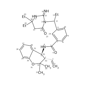 C=C[C@H]1[C@H](NC(=O)c2cccc(C(CC)N3C(=N)NC(CC)(CC)CC3=O)c2)c2ccccc2OC1(C)C